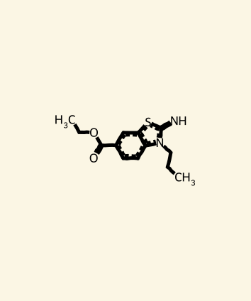 CCCn1c(=N)sc2cc(C(=O)OCC)ccc21